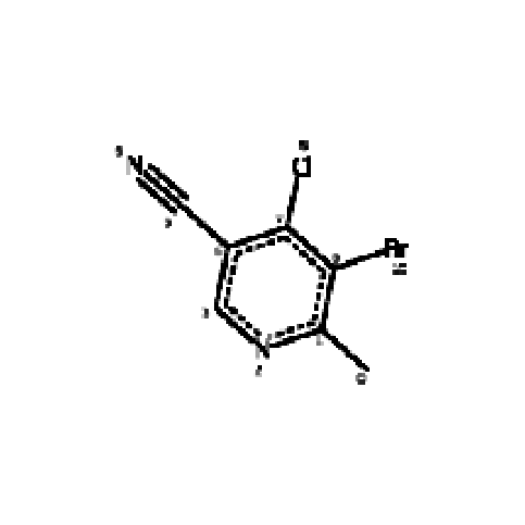 Cc1ncc(C#N)c(Cl)c1Br